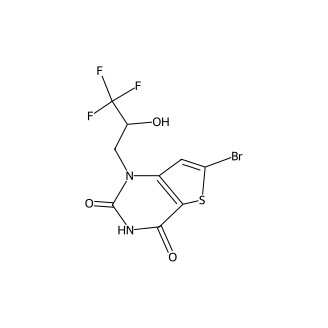 O=c1[nH]c(=O)n(CC(O)C(F)(F)F)c2cc(Br)sc12